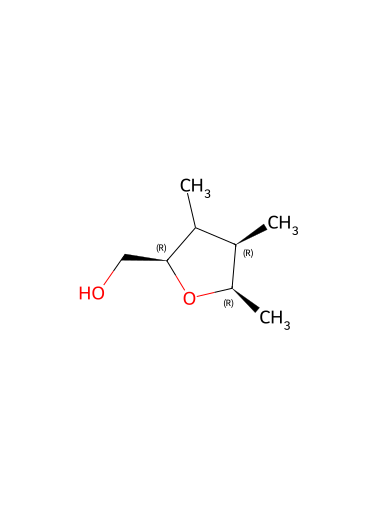 CC1[C@H](CO)O[C@H](C)[C@@H]1C